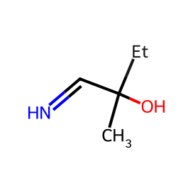 CCC(C)(O)C=N